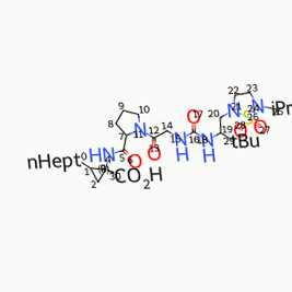 CCCCCCCC1C[C@]1(NC(=O)C1CCCN1C(=O)CNC(=O)NC(CN1CCN(C(C)C)S1(=O)=O)C(C)(C)C)C(=O)O